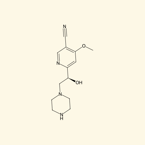 COc1cc([C@@H](O)CN2CCNCC2)ncc1C#N